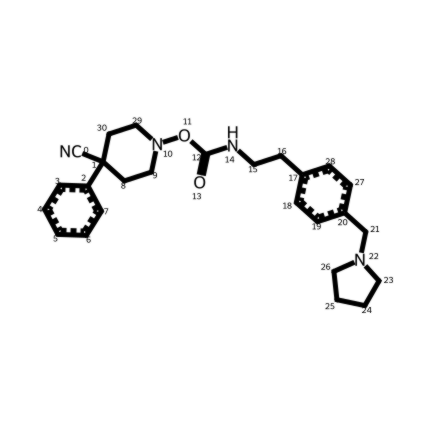 N#CC1(c2ccccc2)CCN(OC(=O)NCCc2ccc(CN3CCCC3)cc2)CC1